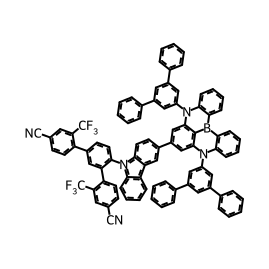 N#Cc1ccc(-c2ccc(-n3c4ccccc4c4cc(-c5cc6c7c(c5)N(c5cc(-c8ccccc8)cc(-c8ccccc8)c5)c5ccccc5B7c5ccccc5N6c5cc(-c6ccccc6)cc(-c6ccccc6)c5)ccc43)c(-c3ccc(C#N)cc3C(F)(F)F)c2)c(C(F)(F)F)c1